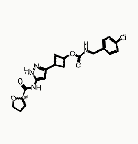 O=C(NCc1ccc(Cl)cc1)OC1CC(c2cc(NC(=O)[C@H]3CCCO3)[nH]n2)C1